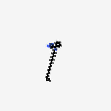 CCCCCCCCCCCCCCCCCCN=C(c1ccccc1)c1c[nH]nn1